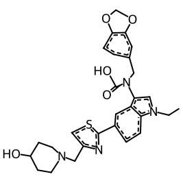 CCn1cc(N(Cc2ccc3c(c2)OCO3)C(=O)O)c2cc(-c3nc(CN4CCC(O)CC4)cs3)ccc21